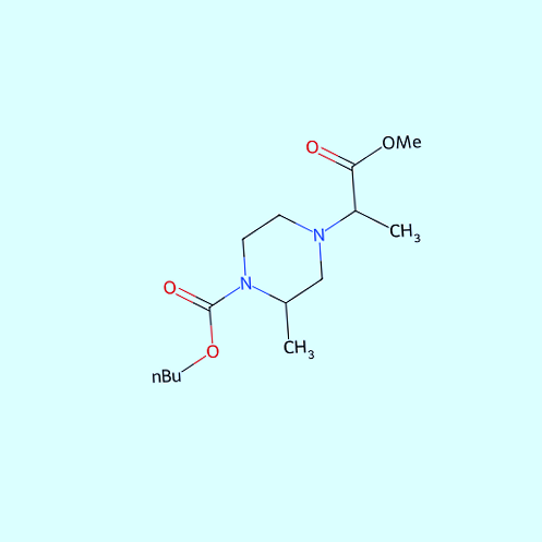 CCCCOC(=O)N1CCN(C(C)C(=O)OC)CC1C